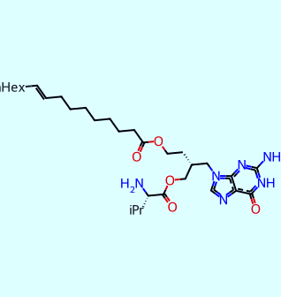 CCCCCCC=CCCCCCCCC(=O)OCC[C@@H](COC(=O)[C@@H](N)C(C)C)Cn1cnc2c(=O)[nH]c(N)nc21